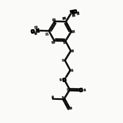 C=C(C)C(=O)OCCCc1cc([N+](=O)[O-])cc([N+](=O)[O-])c1